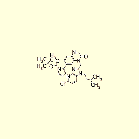 CC(C)CCn1c(Cn2c(=O)cnc3ccc(-c4cccn4C(=O)OC(C)(C)C)cc32)nc2nc(Cl)ccc21